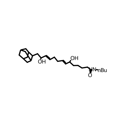 CCCCNC(=O)CCCCC(O)C=CCCC=CC(O)CC1C2CC3CC(C2)CC1C3